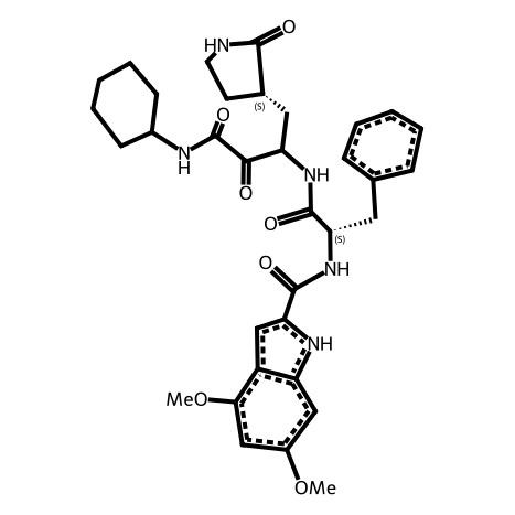 COc1cc(OC)c2cc(C(=O)N[C@@H](Cc3ccccc3)C(=O)NC(C[C@@H]3CCNC3=O)C(=O)C(=O)NC3CCCCC3)[nH]c2c1